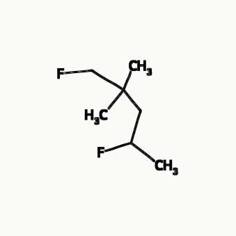 CC(F)CC(C)(C)CF